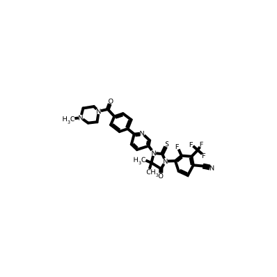 CN1CCN(C(=O)c2ccc(-c3ccc(N4C(=S)N(c5ccc(C#N)c(C(F)(F)F)c5F)C(=O)C4(C)C)cn3)cc2)CC1